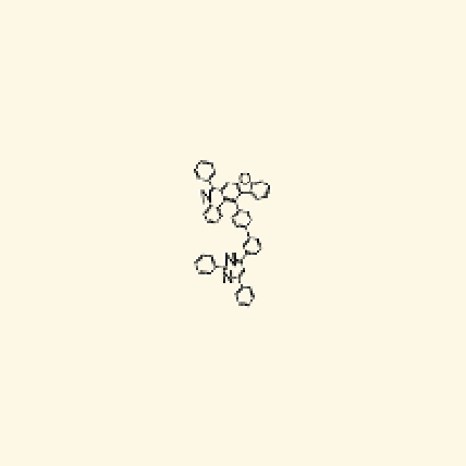 c1ccc(-c2cc(-c3cccc(-c4ccc(-c5c6c(cc7c(-c8ccccc8)nc8ccccc8c57)oc5ccccc56)cc4)c3)nc(-c3ccccc3)n2)cc1